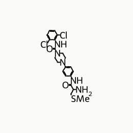 CSCC(N)C(=O)Nc1ccc(N2CCN(C(=O)Nc3c(Cl)cccc3Cl)CC2)cc1